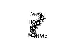 CNC1CCC(F)[C@@H](Oc2ccc(-c3ccc(-c4ccnc(OC)c4)cc3O)nn2)C1